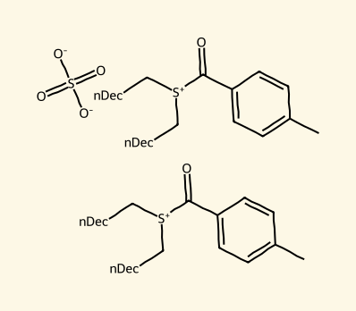 CCCCCCCCCCC[S+](CCCCCCCCCCC)C(=O)c1ccc(C)cc1.CCCCCCCCCCC[S+](CCCCCCCCCCC)C(=O)c1ccc(C)cc1.O=S(=O)([O-])[O-]